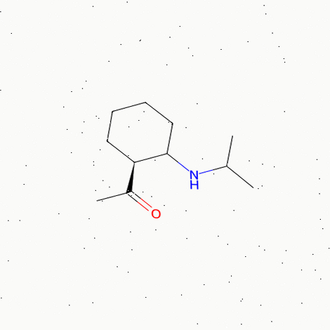 CC(=O)[C@H]1CCCCC1NC(C)C